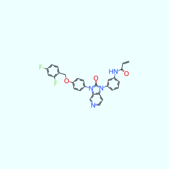 C=CC(=O)Nc1cccc(-n2c(=O)n(-c3ccc(OCc4ccc(F)cc4F)cc3)c3cnccc32)c1